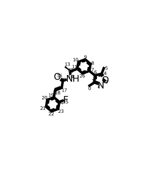 Cc1noc(C)c1-c1cccc([C@H](C)NC(=O)C=Cc2ccccc2F)c1